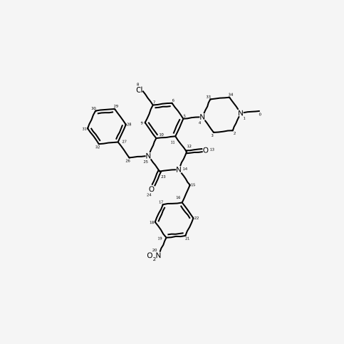 CN1CCN(c2cc(Cl)cc3c2c(=O)n(Cc2ccc([N+](=O)[O-])cc2)c(=O)n3Cc2ccccc2)CC1